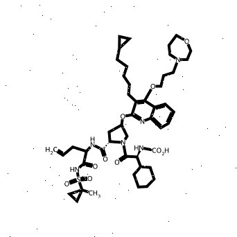 C=CCC(NC(=O)[C@@H]1CC(Oc2nc3ccccc3c(OCCCN3CCCOCC3)c2CCCCCC2CC2)CN1C(=O)[C@@H](NC(=O)O)C1CCCCC1)C(=O)NS(=O)(=O)C1(C)CC1